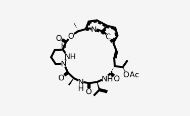 C=C(C)[C@@H]1NC(=O)[C@@H]([C@H](C)OC(C)=O)/C=C/c2ccc3ccc(nc3c2)[C@@H](C)OC(=O)[C@@H]2CCCN(N2)C(=O)[C@H](C)NC1=O